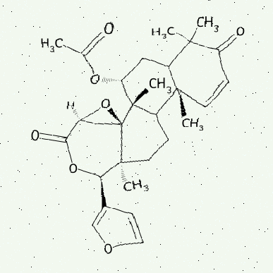 CC(=O)O[C@@H]1CC2C(C)(C)C(=O)C=C[C@]2(C)C2CC[C@@]3(C)[C@@H](c4ccoc4)OC(=O)[C@H]4O[C@]43[C@@]21C